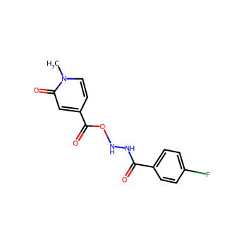 Cn1ccc(C(=O)ONNC(=O)c2ccc(F)cc2)cc1=O